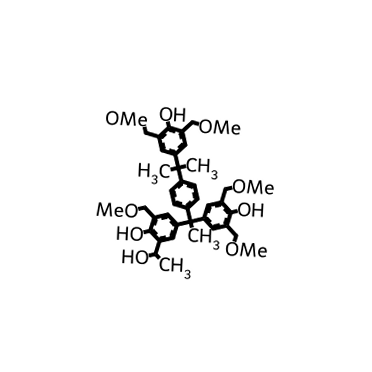 COCc1cc(C(C)(C)c2ccc(C(C)(c3cc(COC)c(O)c(COC)c3)c3cc(COC)c(O)c(C(C)O)c3)cc2)cc(COC)c1O